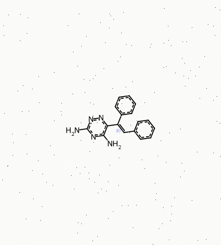 Nc1nnc(/C(=C/c2ccccc2)c2ccccc2)c(N)n1